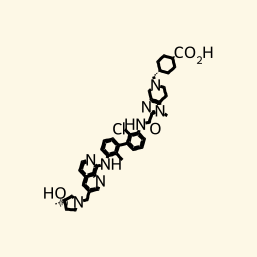 Cc1c(Nc2nccc3cc(CN4CC[C@@](C)(O)C4)cnc23)cccc1-c1cccc(NC(=O)c2nc3c(n2C)CCN(C[C@H]2CC[C@@H](C(=O)O)CC2)C3)c1Cl